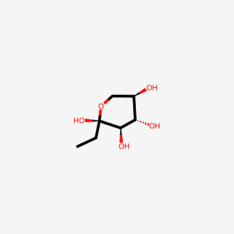 CC[C@]1(O)OC[C@@H](O)[C@H](O)[C@H]1O